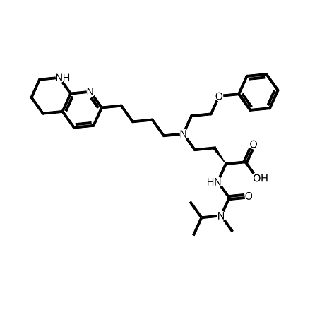 CC(C)N(C)C(=O)N[C@@H](CCN(CCCCc1ccc2c(n1)NCCC2)CCOc1ccccc1)C(=O)O